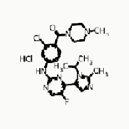 Cc1ncc(-c2nc(Nc3ccc(C(=O)N4CCN(C)CC4)c(Cl)c3)ncc2F)n1C(C)C.Cl